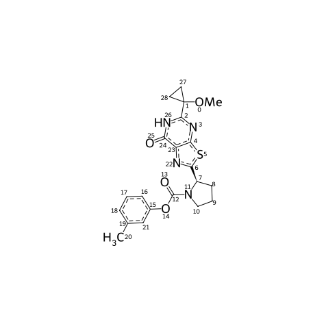 COC1(c2nc3sc([C@H]4CCCN4C(=O)Oc4cccc(C)c4)nc3c(=O)[nH]2)CC1